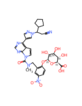 CN(Cc1cc([N+](=O)[O-])ccc1O[C@@H]1O[C@H](C(=O)O)[C@@H](O)[C@H](O)[C@H]1O)C(=O)n1ccc2c(-c3cnn(C(CC#N)C4CCCC4)c3)ncnc21